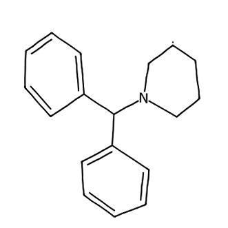 [CH]1CCCN(C(c2ccccc2)c2ccccc2)C1